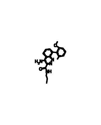 CCCNC(=O)c1nnc2c(-c3c(C)cccc3OC)cccc2c1N